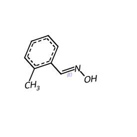 Cc1ccccc1/C=N/O